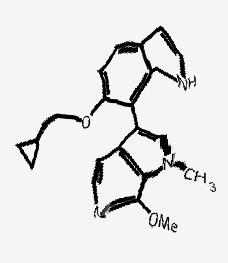 COc1nccc2c(-c3c(OCC4CC4)ccc4cc[nH]c34)cn(C)c12